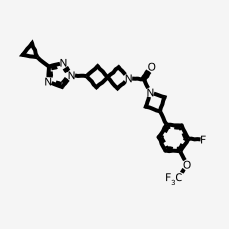 O=C(N1CC(c2ccc(OC(F)(F)F)c(F)c2)C1)N1CC2(CC(n3cnc(C4CC4)n3)C2)C1